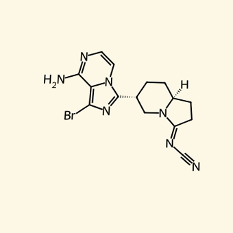 N#C/N=C1\CC[C@@H]2CC[C@@H](c3nc(Br)c4c(N)nccn34)CN12